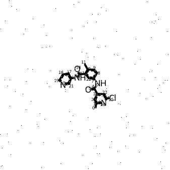 Cc1cc(C(=O)Nc2ccc(C)c(C(=O)Nc3cccnc3)c2)cc(Cl)n1